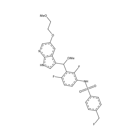 COCCOc1cnc2[nH]cc(C(OC)c3c(F)ccc(NS(=O)(=O)c4ccc(CF)cc4)c3F)c2c1